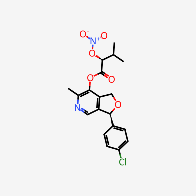 Cc1ncc2c(c1OC(=O)[C@@H](O[N+](=O)[O-])C(C)C)CO[C@H]2c1ccc(Cl)cc1